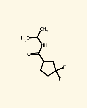 CC(C)NC(=O)C1CCC(F)(F)C1